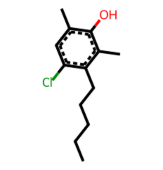 CCCCCc1c(Cl)cc(C)c(O)c1C